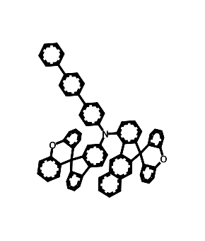 c1ccc(-c2ccc(-c3ccc(N(c4ccc5c(c4)C4(c6ccccc6Oc6ccccc64)c4ccccc4-5)c4cccc5c4-c4cc6ccccc6cc4C54c5ccccc5Oc5ccccc54)cc3)cc2)cc1